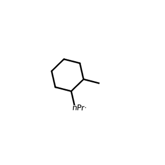 CC[CH]C1CCCCC1C